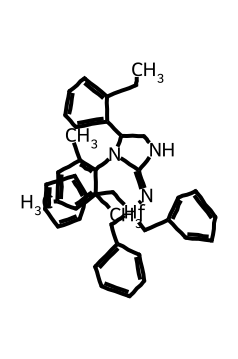 CCc1ccccc1C1CNC(=[N][Hf]([CH2]c2ccccc2)([CH2]c2ccccc2)[CH2]c2ccccc2)N1c1c(C)cc(C)cc1C